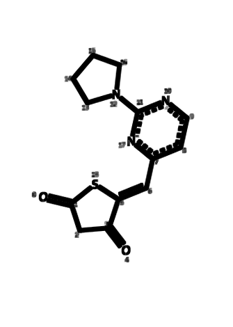 O=C1CC(=O)C(=Cc2ccnc(N3CCCC3)n2)S1